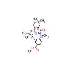 COC(=O)c1ccc([C@H](C)NC(=O)[C@H]2CC(C)(C)CCN2C(=O)OC(C)(C)C)cc1